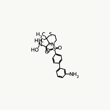 CC1(C)SCCN(S(=O)(=O)c2ccc(-c3cccc(N)c3)cc2)[C@H]1C(=O)NO